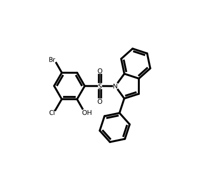 O=S(=O)(c1cc(Br)cc(Cl)c1O)n1c(-c2ccccc2)cc2ccccc21